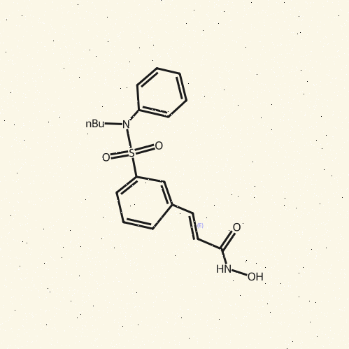 CCCCN(c1ccccc1)S(=O)(=O)c1cccc(/C=C/C(=O)NO)c1